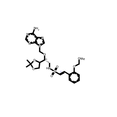 COCOc1ccccc1/C=C/S(=O)(=O)NC[C@@H](OCn1cnc2c(N)ncnc21)C1COC(C)(C)O1